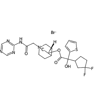 O=C(C[N+]12CCC(CC1)[C@@H](OC(=O)C(O)(c1cccs1)C1CCC(F)(F)C1)C2)Nc1ncncn1.[Br-]